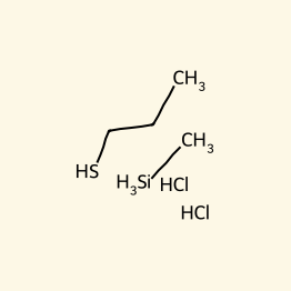 CCCS.C[SiH3].Cl.Cl